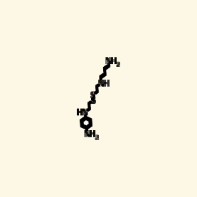 N/C=C/C=C/NCCSSCCNc1ccc(N)cc1